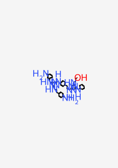 Nc1ccc(CCNc2nc(Nc3ccc(CCNc4nc(NCCO)nc(Nc5ccccc5)n4)cc3)nc(Nc3cccc(N)c3)n2)cc1